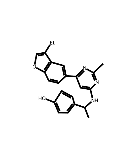 CCc1coc2ccc(-c3cc(NC(C)c4ccc(O)cc4)nc(C)n3)cc12